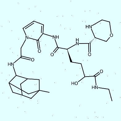 CCNC(=O)C(O)CC[C@H](NC(=O)[C@H]1COCCN1)C(=O)Nc1cccn(CC(=O)NC2C3CC4CC2CC(C)(C4)C3)c1=O